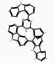 c1ccc(C2N=C(c3cccc4oc5ccccc5c34)N=C(c3cccc4oc5ccc(-c6cccc7c6sc6ccccc67)cc5c34)N2)cc1